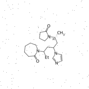 CCC(CC(C[C@@H](C)N1CCCC1=O)n1ccnc1)N1CCCCCC1=O